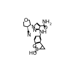 N#C[C@H]1CCOC[C@@H]1n1cc(C(N)=O)c(Nc2ccc3c(c2)C2CC2B(O)O3)n1